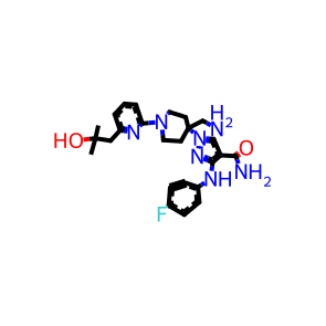 CC(C)(O)Cc1cccc(N2CCC(CN)(n3cc(C(N)=O)c(Nc4c#cc(F)cc4)n3)CC2)n1